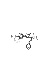 C=C(CCN1CCOCC1)n1cc(-c2cnc(N)c(C(F)(F)F)c2)nc1C(C)C